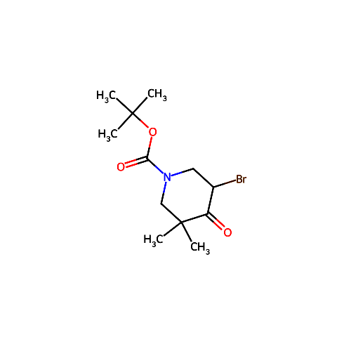 CC(C)(C)OC(=O)N1CC(Br)C(=O)C(C)(C)C1